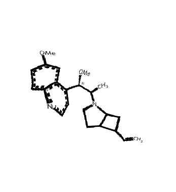 C=CC1CC2C1CCN2C(C)[C@H](OC)c1ccnc2ccc(OC)cc12